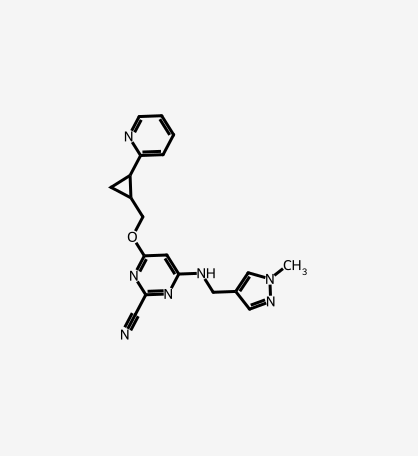 Cn1cc(CNc2cc(OCC3CC3c3ccccn3)nc(C#N)n2)cn1